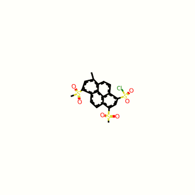 Cc1cc(S(C)(=O)=O)c2ccc3c(S(C)(=O)=O)cc(S(=O)(=O)Cl)c4ccc1c2c34